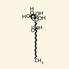 CCCCCCCCCCCCCCCC(=O)[15NH]CCCO[C@]1(CO)OC[C@@H](O)[C@@H](O)[C@@H]1O